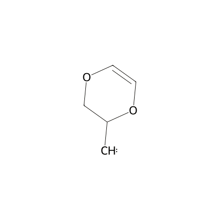 [CH]C1COC=CO1